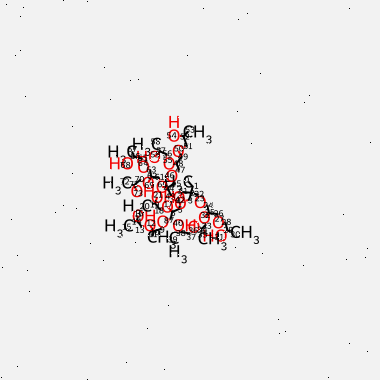 CCC(COCC(COCC(C)OCC(C)O)OCC(C)O)(COCC(COCC(C)O)OCC(C)OCC(C)O)COCC(COCC(COCC(C)O)OCC(C)O)OCC(COCC(C)O)OCC(C)O